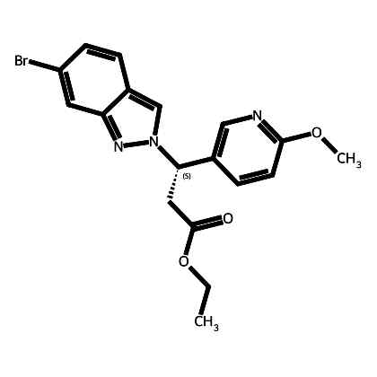 CCOC(=O)C[C@@H](c1ccc(OC)nc1)n1cc2ccc(Br)cc2n1